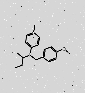 CCC(C)N(Cc1ccc(OC)cc1)c1ccc(C)cc1